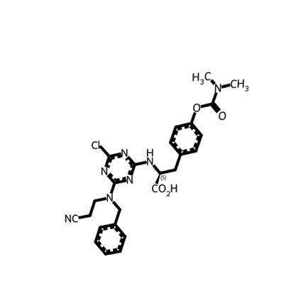 CN(C)C(=O)Oc1ccc(C[C@H](Nc2nc(Cl)nc(N(CCC#N)Cc3ccccc3)n2)C(=O)O)cc1